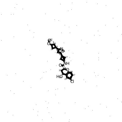 O=C(NC12CC(c3cc(C4CC(OC(F)(F)F)C4)no3)(C1)C2)[C@H]1C[C@@H](O)c2cc(Cl)ccc2O1